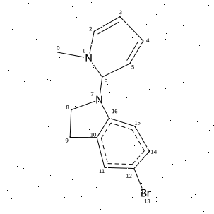 CN1C=CC=CC1N1CCc2cc(Br)ccc21